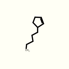 CCCCC[C]1C=CCC1